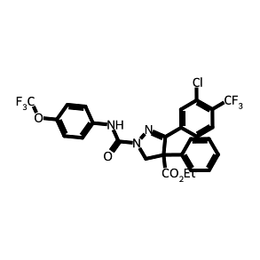 CCOC(=O)C1(c2ccccc2)CN(C(=O)Nc2ccc(OC(F)(F)F)cc2)N=C1c1ccc(C(F)(F)F)c(Cl)c1